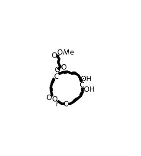 COC(=O)CCC(=O)O[C@@H]1C=CC=CC[C@H](O)C[C@@H](O)C=CC=CCCC[C@H](C)OC(=O)C=CC=CC1